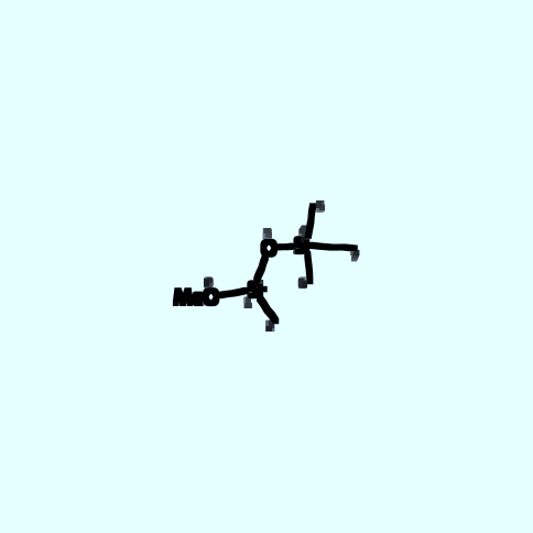 CO[Si](C)O[Si](C)(C)C